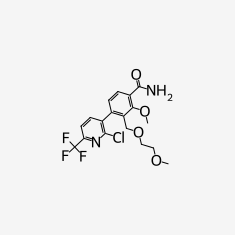 COCCOCc1c(-c2ccc(C(F)(F)F)nc2Cl)ccc(C(N)=O)c1OC